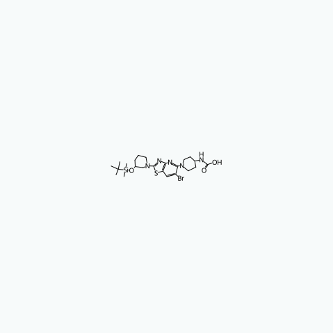 CC(C)(C)[Si](C)(C)OC1CCCN(c2nc3nc(N4CCC(NC(=O)O)CC4)c(Br)cc3s2)C1